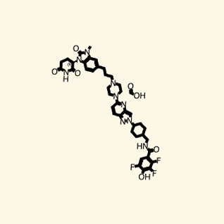 Cn1c(=O)n([C@@H]2CCC(=O)NC2=O)c2ccc(CCCN3CCN(c4ccc5nn(C6CCC(CNC(=O)c7cc(F)c(O)c(F)c7F)CC6)cc5n4)CC3)cc21.O=CO